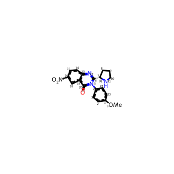 COc1ccc(-n2c([C@@H]3CCCN3)nc3ccc([N+](=O)[O-])cc3c2=O)cc1